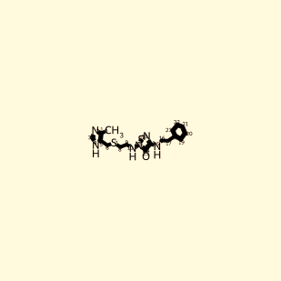 Cc1nc[nH]c1CSCCNn1snc(NCCc2ccccc2)c1=O